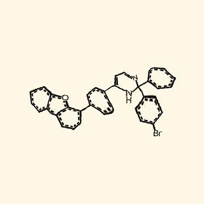 Brc1ccc(C2(c3ccccc3)N=CC=C(c3ccc(-c4cccc5c4oc4ccccc45)cc3)N2)cc1